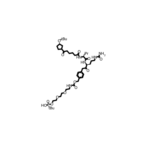 CC(C)[C@H](NC(=O)CCCCC(=O)C1CC[C@H](OC(C)(C)C)C1)C(=O)N[C@@H](CCCNC(N)=O)C(=O)Cc1ccc(COC(=O)NCCOCCOCCOP(=O)(O)C(C)(C)C)cc1